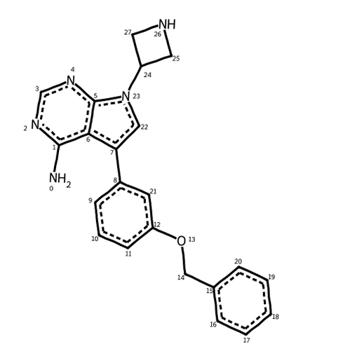 Nc1ncnc2c1c(-c1cccc(OCc3ccccc3)c1)cn2C1CNC1